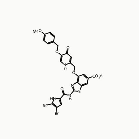 COc1ccc(COc2c[nH]c(COc3cc(C(=O)O)cc4sc(NC(=O)c5cc(Br)c(Br)[nH]5)nc34)cc2=O)cc1